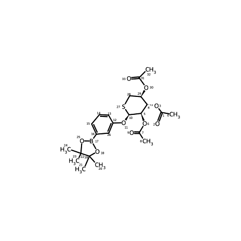 CC(=O)O[C@@H]1[C@@H](OC(C)=O)[C@@H](Oc2cccc(B3OC(C)(C)C(C)(C)O3)c2)SC[C@H]1OC(C)=O